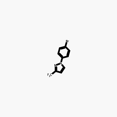 FC(F)(F)c1ccn(-c2ccc(Br)cc2)n1